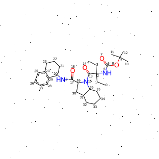 CCC(CC)(NC(=O)OC(C)(C)C)C(=O)N1C(C(=O)NC2CCCc3ccccc32)CC2CCCCC21